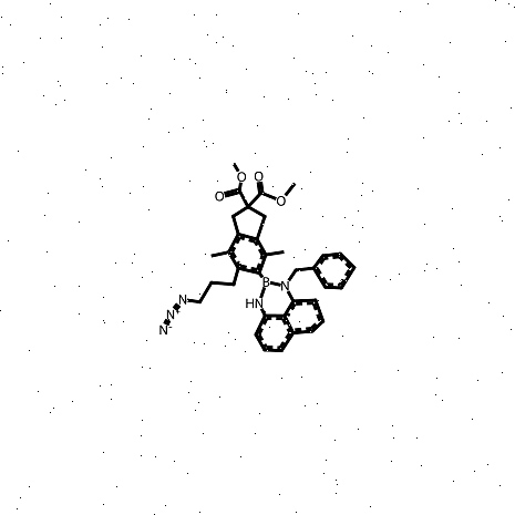 COC(=O)C1(C(=O)OC)Cc2c(C)c(CCCN=[N+]=[N-])c(B3Nc4cccc5cccc(c45)N3Cc3ccccc3)c(C)c2C1